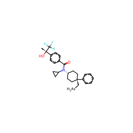 C[C@](O)(c1ccc(C(=O)N(C2CC2)[C@H]2CC[C@@](C[AsH2])(c3ccccc3)CC2)cc1)C(F)(F)F